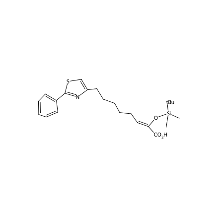 CC(C)(C)[Si](C)(C)OC(=CCCCCCc1csc(-c2ccccc2)n1)C(=O)O